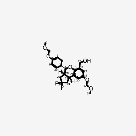 COCOC1=CCC([C@@H]2Oc3c(CO)cc(OCOC)cc3[C@@H]3CC(F)(F)C[C@@H]32)C=C1